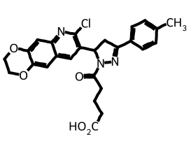 Cc1ccc(C2=NN(C(=O)CCCC(=O)O)C(c3cc4cc5c(cc4nc3Cl)OCCO5)C2)cc1